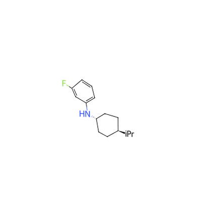 CC(C)[C@H]1CC[C@H](Nc2cccc(F)c2)CC1